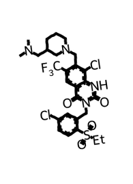 CCS(=O)(=O)c1ccc(Cl)cc1Cn1c(=O)[nH]c2c(Cl)c(CN3CCCC(CN(C)C)C3)c(C(F)(F)F)cc2c1=O